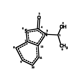 CC(O)n1c(=O)sc2ccccc21